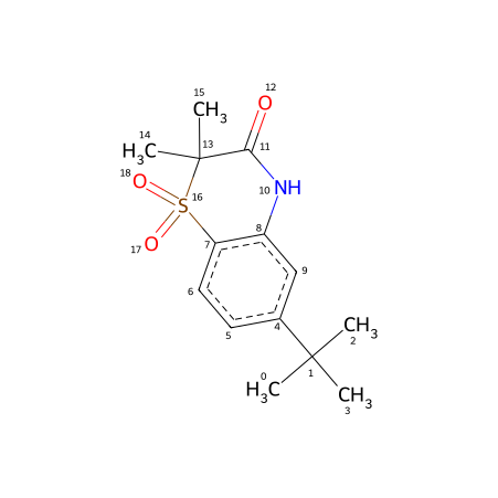 CC(C)(C)c1ccc2c(c1)NC(=O)C(C)(C)S2(=O)=O